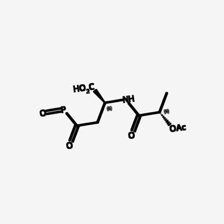 CC(=O)O[C@@H](C)C(=O)N[C@@H](CC(=O)P=O)C(=O)O